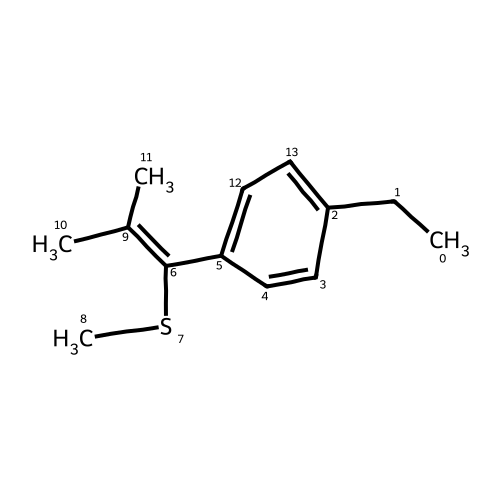 CCc1ccc(C(SC)=C(C)C)cc1